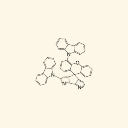 c1ccc2c(c1)Oc1c(-n3c4ccccc4c4ccccc43)cccc1C21c2cccnc2-c2ncc(-n3c4ccccc4c4ccccc43)cc21